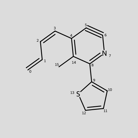 C=C/C=C\c1c#cnc(-c2cccs2)c1C